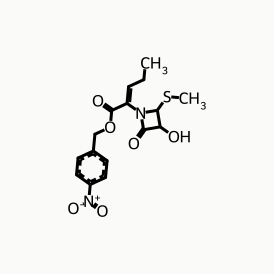 CCC=C(C(=O)OCc1ccc([N+](=O)[O-])cc1)N1C(=O)C(O)C1SC